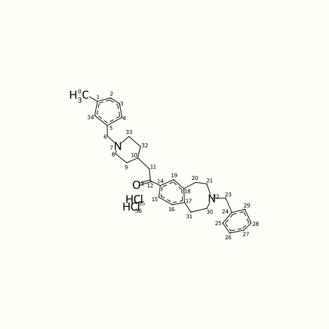 Cc1cccc(CN2CCC(CC(=O)c3ccc4c(c3)CCN(Cc3ccccc3)CC4)CC2)c1.Cl.Cl